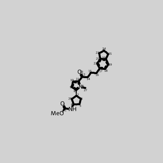 COC(=O)NC1CC[C@H](c2ccc(C(=O)CCCc3ccc4c(c3)CCC4)n2C)C1